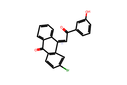 O=C(/C=C1\c2ccccc2C(=O)c2ccc(Br)cc21)c1cccc(O)c1